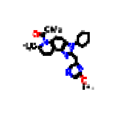 COC(=O)N1c2ccc3c(nc(Cc4cncc(OC(C)(C)C)n4)n3C3CCCCC3)c2CC[C@@H]1C